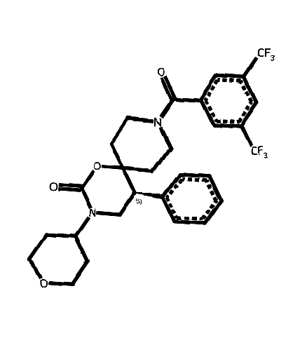 O=C(c1cc(C(F)(F)F)cc(C(F)(F)F)c1)N1CCC2(CC1)OC(=O)N(C1CCOCC1)C[C@@H]2c1ccccc1